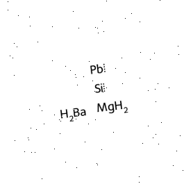 [BaH2].[MgH2].[Pb].[Si]